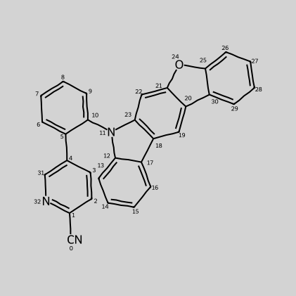 N#Cc1ccc(-c2ccccc2-n2c3ccccc3c3cc4c(cc32)oc2ccccc24)cn1